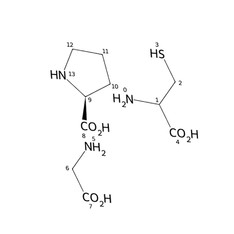 NC(CS)C(=O)O.NCC(=O)O.O=C(O)[C@@H]1CCCN1